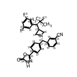 CC(C)(F)[C@H](c1cc(F)cc(F)c1)C1CN([C@@H](c2ccc(-c3n[nH]c(=O)o3)cc2)c2cccc(C#N)c2)C1